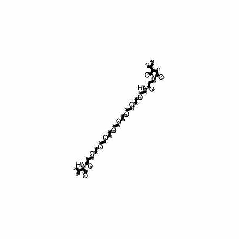 CC(C)C(C=O)NC(=O)CCOCCOCCOCCOCCOCCOCCOCCOCCNC(=O)CCN1C(=O)CC(C(C)C)C1=O